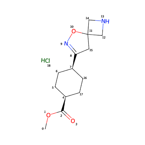 COC(=O)[C@H]1CC[C@@H](C2=NOC3(CNC3)C2)CC1.Cl